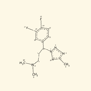 Cc1nnn(C(CCN(C)C)c2ccc(F)c(F)c2)n1